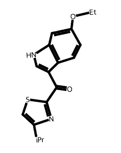 CCOc1ccc2c(C(=O)c3nc(C(C)C)cs3)c[nH]c2c1